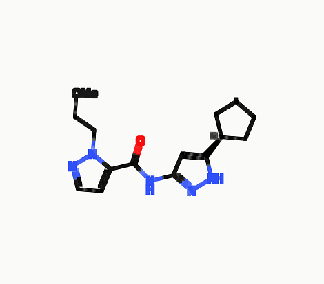 COCCn1nccc1C(=O)Nc1cc([C@H]2C[CH]CC2)[nH]n1